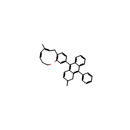 CC1=C\Cc2ccc(-c3c4c(c(-c5ccccc5)c5ccccc35)CC(C)C=C4)cc2OCC/C=C\1